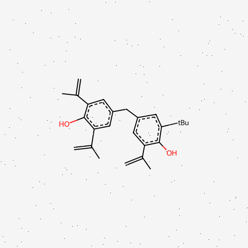 C=C(C)c1cc(Cc2cc(C(=C)C)c(O)c(C(C)(C)C)c2)cc(C(=C)C)c1O